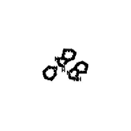 c1ccc2[nH]cnc2c1.c1ccc2[nH]cnc2c1.c1ccncc1